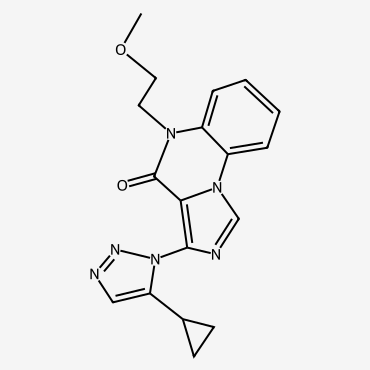 COCCn1c(=O)c2c(-n3nncc3C3CC3)ncn2c2ccccc21